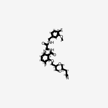 COc1cc(CNC(=O)c2nc3ccc(F)c(OCC4COC(CC#N)CO4)c3c(=O)[nH]2)ccc1F